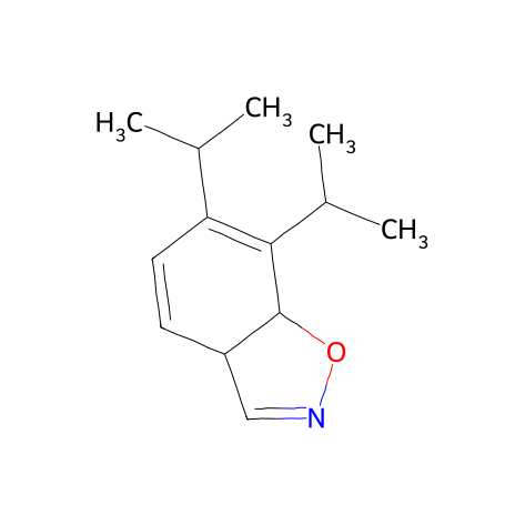 CC(C)C1=C(C(C)C)C2ON=CC2C=C1